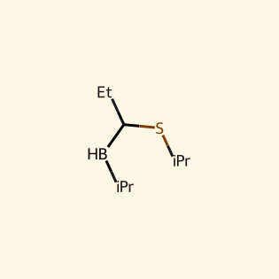 CCC(BC(C)C)SC(C)C